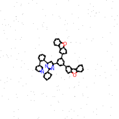 c1ccc(-c2nc(-c3cc(-c4ccc5oc6ccccc6c5c4)cc(-c4ccc5oc6ccccc6c5c4)c3)cc(-c3ccccc3-c3cccnc3)n2)cc1